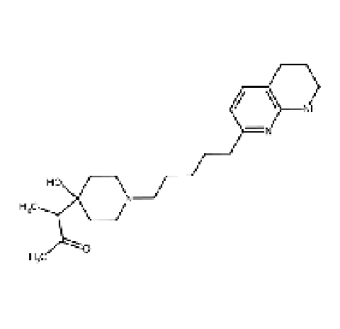 CC(=O)C(C)C1(O)CCN(CCCCCc2ccc3c(n2)NCCC3)CC1